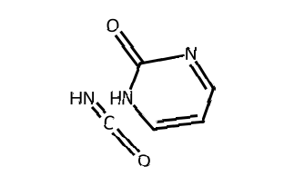 N=C=O.O=c1nccc[nH]1